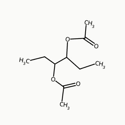 CCC(OC(C)=O)C(CC)OC(C)=O